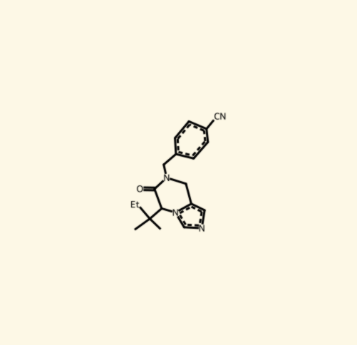 CCC(C)(C)C1C(=O)N(Cc2ccc(C#N)cc2)Cc2cncn21